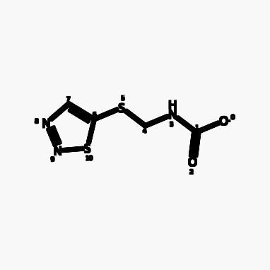 [O]C(=O)NCSc1cnns1